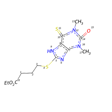 CCOC(=O)CCCSc1nc2c([nH]1)c(=S)n(C)c(=O)n2C